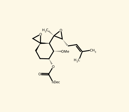 CCCCCCCCCCC(=O)O[C@@H]1CC[C@]2(CO2)[C@@H]([C@@]2(C)O[C@@H]2CC=C(C)C)[C@@H]1OC